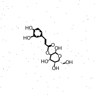 O=C(C=Cc1ccc(O)c(O)c1)O[C@@H]1[C@@H](O)[C@H](O)[C@@H](CO)O[C@@H]1O